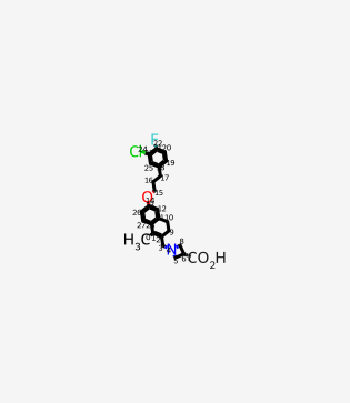 CC1=C(CN2CC(C(=O)O)C2)CCc2cc(OCCCc3ccc(F)c(Cl)c3)ccc21